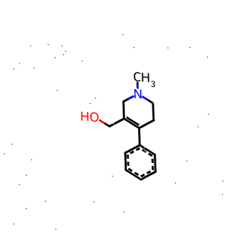 CN1CCC(c2ccccc2)=C(CO)C1